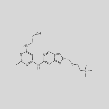 Cc1nc(NCCO)cc(Nc2cc3nn(COCC[Si](C)(C)C)cc3cn2)n1